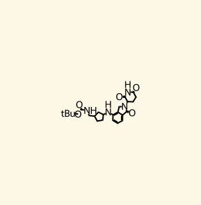 CC(C)(C)OC(=O)NCC1CCC(Nc2cccc3c2CN(C2CCC(=O)NC2=O)C3=O)C1